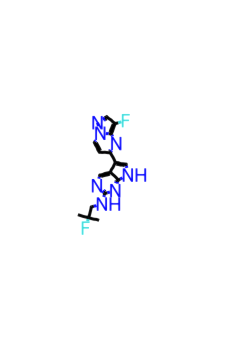 CC(C)(F)CNc1ncc2c(-c3ccn4ncc(F)c4n3)c[nH]c2n1